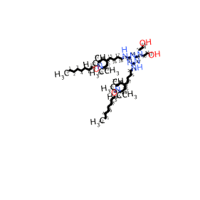 CCCCCCCCON1C(C)(C)CC(CCCCNc2nc(NCCCCC3CC(C)(C)N(OCCCCCCCC)C(C)(C)C3)nc(N(CCO)CCO)n2)CC1(C)C